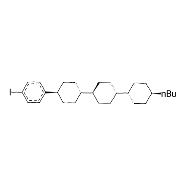 CCCC[C@H]1CC[C@H]([C@H]2CC[C@H]([C@H]3CC[C@H](c4ccc(I)cc4)CC3)CC2)CC1